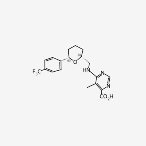 Cc1c(NC[C@H]2CCC[C@@H](c3ccc(C(F)(F)F)cc3)O2)ncnc1C(=O)O